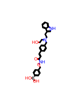 O=C(/C=C/c1ccc(CN(CCO)CCc2c[nH]c3ccccc23)cc1)NOCc1ccc(B(O)O)cc1